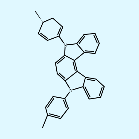 Cc1ccc(-n2c3ccccc3c3c4c5ccccc5n(C5=CC[C@@H](C)C=C5)c4ccc32)cc1